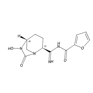 N=C(NC(=O)c1ccco1)[C@@H]1CC[C@@H]2CN1C(=O)N2O